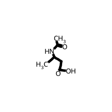 CC(=O)NC(C)CC(=O)O